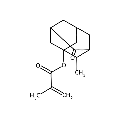 C=C(C)C(=O)OC12CC3CC(C1)C(=O)C(C3)C2C